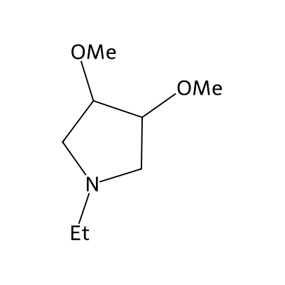 CCN1CC(OC)C(OC)C1